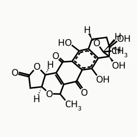 CC1O[C@H]2CC(=O)O[C@H]2C2=C1C(=O)c1c(O)c3c(c(O)c1C2=O)[C@@H]1C[C@@H](O)[C@@]3(O)[C@@H](C)O1